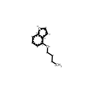 CCCCOc1cccc2occc12